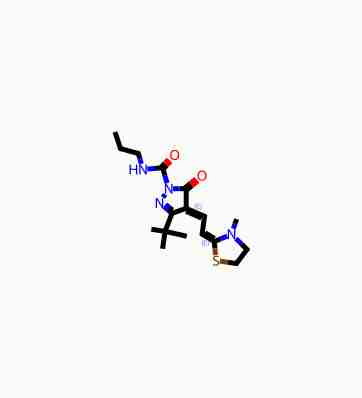 CCCNC(=O)N1N=C(C(C)(C)C)/C(=C\C=C2\SCCN2C)C1=O